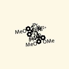 COc1cccc(C2(c3cccc(OC)c3)OC(CC3=N[C@H](CC(C)C)C(c4cccc(OC)c4)(c4cccc(OC)c4)O3)=N[C@@H]2CC(C)C)c1.[Br-].[Br-].[Ni+2]